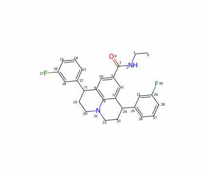 CCNC(=O)c1cc2c3c(c1)C(c1cccc(F)c1)CCN3CCC2c1cccc(F)c1